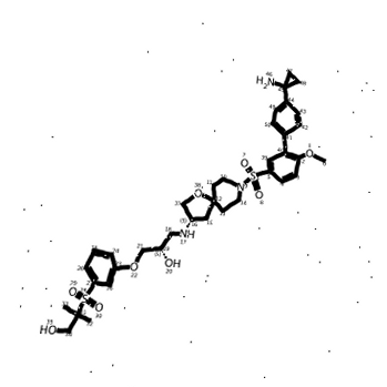 COc1ccc(S(=O)(=O)N2CCC3(CC2)C[C@H](NC[C@H](O)COc2cccc(S(=O)(=O)C(C)(C)CO)c2)CO3)cc1-c1ccc(C2(N)CC2)cc1